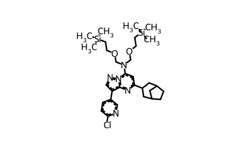 C[Si](C)(C)CCOCN(COCC[Si](C)(C)C)c1cc(C2CC3CCC(C3)C2)nc2c(-c3ccc(Cl)nc3)cnn12